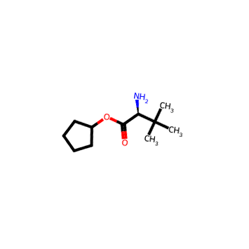 CC(C)(C)[C@H](N)C(=O)OC1CCCC1